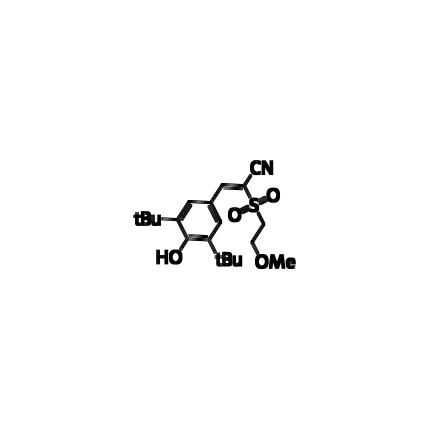 COCCS(=O)(=O)C(C#N)=Cc1cc(C(C)(C)C)c(O)c(C(C)(C)C)c1